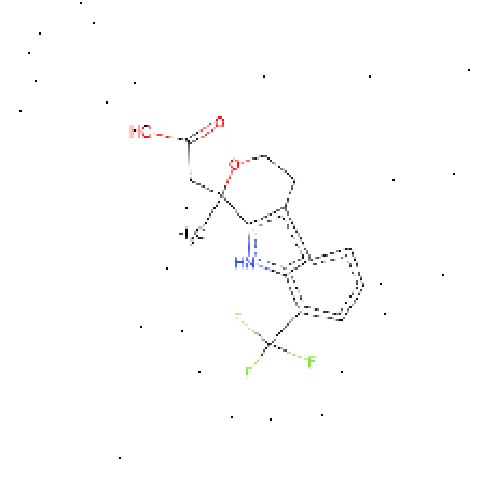 CC1(CC(=O)O)OCCc2c1[nH]c1c(C(F)(F)F)cccc21